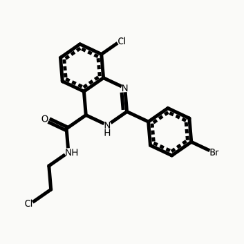 O=C(NCCCl)C1NC(c2ccc(Br)cc2)=Nc2c(Cl)cccc21